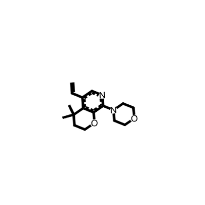 C=Cc1cnc(N2CCOCC2)c2c1C(C)(C)CCO2